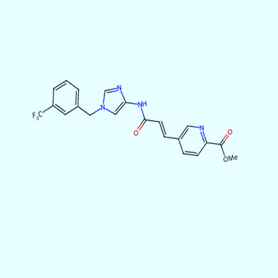 COC(=O)c1ccc(/C=C/C(=O)Nc2cn(Cc3cccc(C(F)(F)F)c3)cn2)cn1